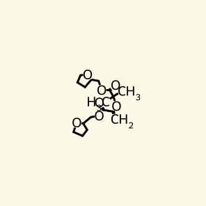 C=C(OC(C)(C)C(=O)OCC1CCCO1)C(=O)OCC1CCCO1